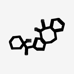 O=C1C(=O)c2cc(C(=O)C3(O)CCCCC3)ccc2CCc2ccccc21